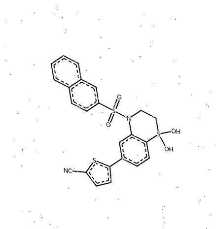 N#Cc1ccc(-c2ccc3c(c2)N(S(=O)(=O)c2ccc4ccccc4c2)CCS3(O)O)s1